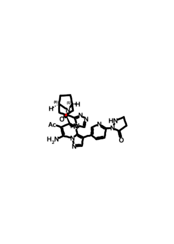 CC(=O)c1c([C@H]2C[C@H]3CC[C@@H](C2)N3C(=O)c2nnc[nH]2)nc2c(-c3ccc(N4NCCC4=O)nc3)cnn2c1N